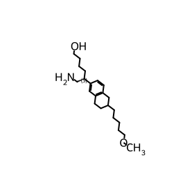 COCCCCCC1CCc2cc([C@@H](CN)CCCCO)ccc2C1